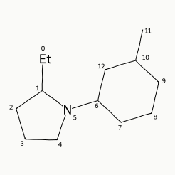 CCC1CCCN1C1CCCC(C)C1